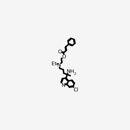 CCN(CCCC(C)(N)c1ccnc2cc(Cl)ccc12)CCOC(=O)C=Cc1ccccc1